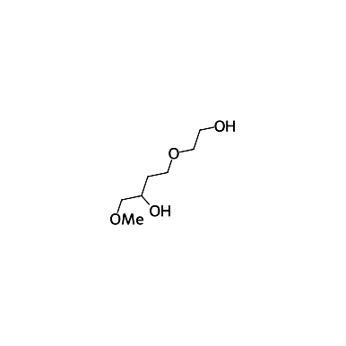 COCC(O)CCOCCO